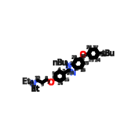 CCCCn1c(-c2ccc(OCCCN(CC)CC)cc2)nc2ccc(Oc3ccc(C(C)(C)C)cc3)cc21